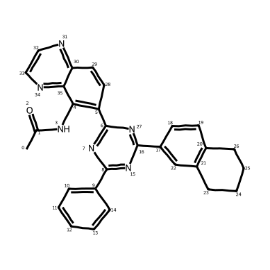 CC(=O)Nc1c(-c2nc(-c3ccccc3)nc(-c3ccc4c(c3)CCCC4)n2)ccc2nccnc12